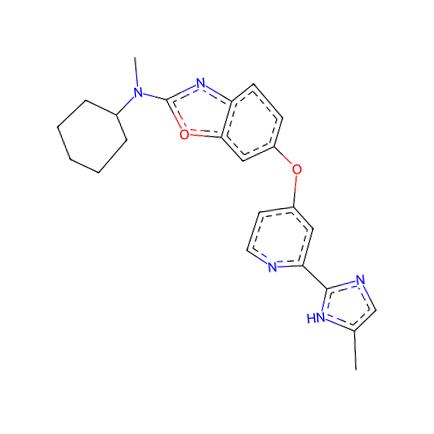 Cc1cnc(-c2cc(Oc3ccc4nc(N(C)C5CCCCC5)oc4c3)ccn2)[nH]1